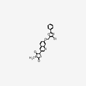 CCc1nc(-c2ccccc2)oc1COc1ccc2cc(C3SC(=O)N(C)C3=O)cnc2c1